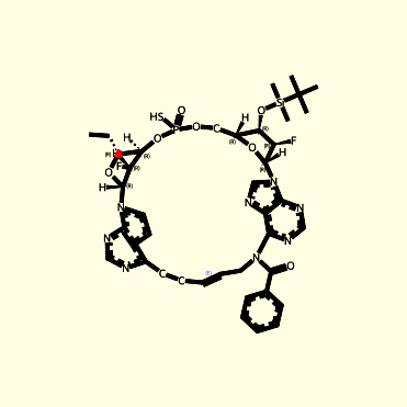 CC[C@H]1O[C@@H]2[C@H](F)[C@@H]1OP(=O)(S)OC[C@H]1O[C@H]([C@H](F)[C@@H]1O[Si](C)(C)C(C)(C)C)n1cnc3c(ncnc31)N(C(=O)c1ccccc1)C/C=C/CCc1ncnc3c1ccn32